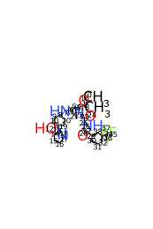 COC(C)[C@@H]1C[C@H](NC2CCC(O)(c3ccccn3)CC2)CN1C(=O)CNC(=O)c1cccc(C(F)(F)F)c1